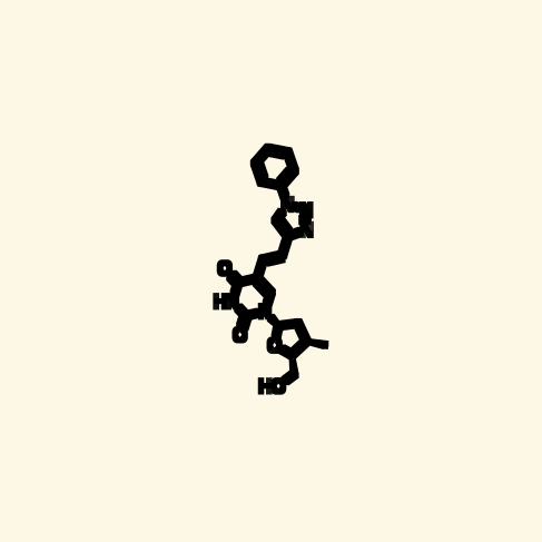 C[C@@H]1C[C@H](n2cc(/C=C/c3cn(-c4ccccc4)nn3)c(=O)[nH]c2=O)O[C@@H]1CO